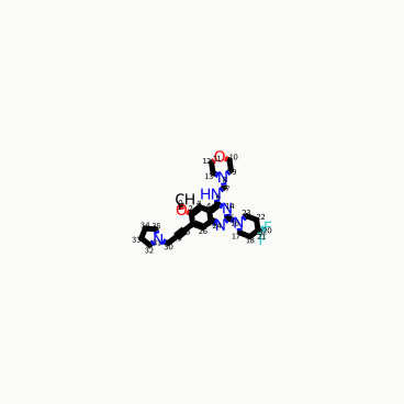 COc1cc2c(NCN3CCOCC3)nc(N3CCC(F)(F)CC3)nc2cc1C#CCN1CCCC1